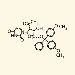 COc1ccc(C(OC[C@@H]2O[C@H](n3ccc(=O)[nH]c3=O)C([S+](C)[O-])C2O)(c2ccccc2)c2ccc(OC)cc2)cc1